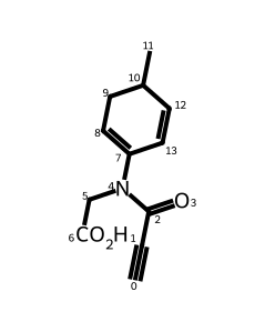 C#CC(=O)N(CC(=O)O)C1=CCC(C)C=C1